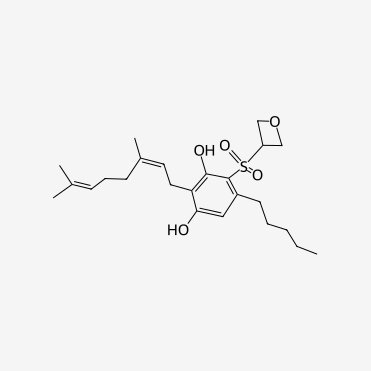 CCCCCc1cc(O)c(CC=C(C)CCC=C(C)C)c(O)c1S(=O)(=O)C1COC1